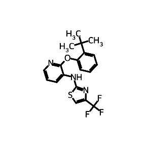 CC(C)(C)c1ccccc1Oc1ncccc1Nc1nc(C(F)(F)F)cs1